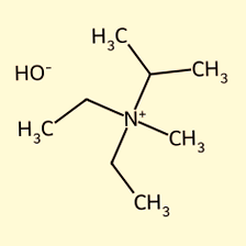 CC[N+](C)(CC)C(C)C.[OH-]